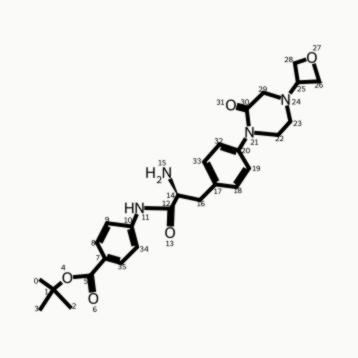 CC(C)(C)OC(=O)c1ccc(NC(=O)[C@@H](N)Cc2ccc(N3CCN(C4COC4)CC3=O)cc2)cc1